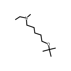 CCN(C)CCCCCOC(C)(C)C